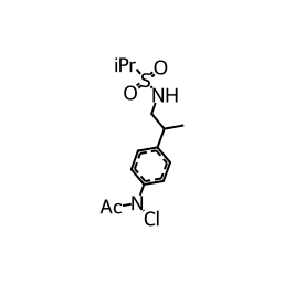 CC(=O)N(Cl)c1ccc(C(C)CNS(=O)(=O)C(C)C)cc1